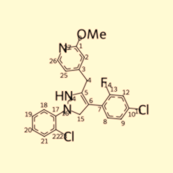 COc1cc(CC2=C(c3ccc(Cl)cc3F)CN(c3ccccc3Cl)N2)ccn1